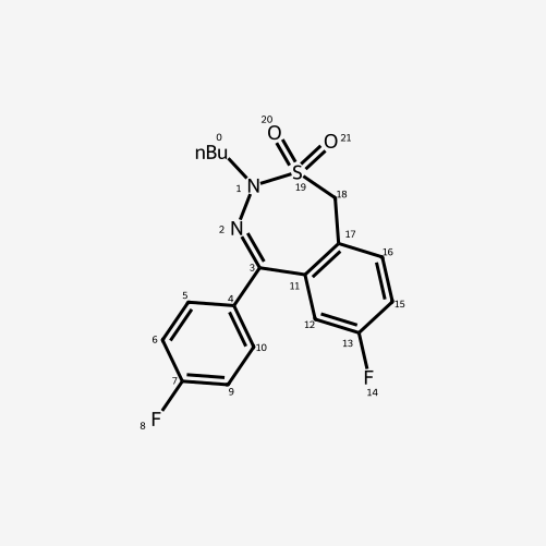 CCCCN1N=C(c2ccc(F)cc2)c2cc(F)ccc2CS1(=O)=O